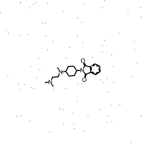 CN(C)CCN(C)C1CCC(N2C(=O)c3ccccc3C2=O)CC1